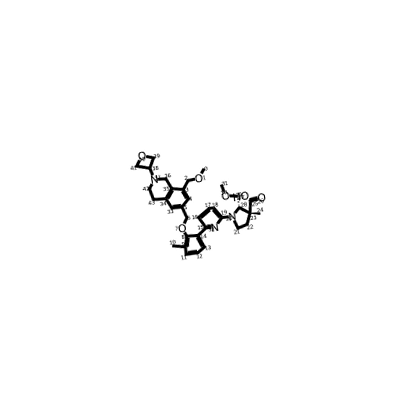 COCc1cc(COc2c(C)cccc2-c2cccc(N3CC[C@@](C)(C(=O)O)[C@H]3COC)n2)cc2c1CN(C1COC1)CC2